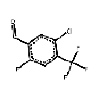 O=Cc1cc(Cl)c(C(F)(F)F)cc1F